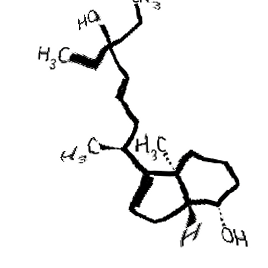 CCC(O)(C=CC[C@H](C)C1=CC[C@H]2[C@@H](O)CCC[C@]12C)CC